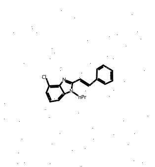 CCCn1c(C=Cc2ccccc2)nc2c(Cl)cccc21